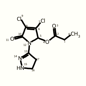 CCC(=O)OC1C(Cl)=C(Cl)C(=O)N1C1=NNCC1